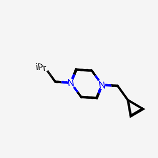 CC(C)CN1CCN(CC2CC2)CC1